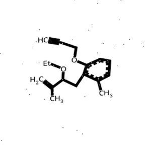 C#CCOc1cccc(C)c1CC(OCC)C(=C)C